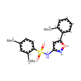 COc1ccc(S(=O)(=O)Nc2cc(-c3ccccc3OC)on2)c(OC)c1